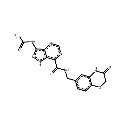 CC(=O)Nc1n[nH]c2c(C(=O)NCc3ccc4c(c3)NC(=O)CO4)ncnc12